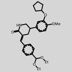 CCOC(OCC)c1ccc(C=C2CC(c3ccc(OC)c(OC4CCCC4)c3)CNC2=O)cc1